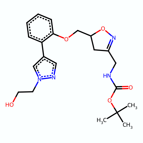 CC(C)(C)OC(=O)NCC1=NOC(COc2ccccc2-c2cnn(CCO)c2)C1